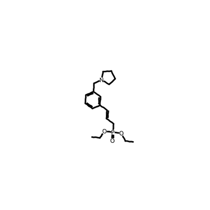 CCOP(=O)(CC=Cc1cccc(CN2CCCC2)c1)OCC